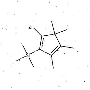 CC1=C(C)C(C)(C)[C]([Zr])=C1[Si](C)(C)C